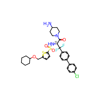 NC1CCN(C(=O)[C@H](NS(=O)(=O)c2ccc(COC3CCCCC3)s2)C(F)(F)c2ccc(-c3ccc(Cl)cc3)cc2)CC1